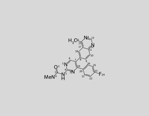 CNC(=O)Nc1ncc(-c2ccc3ncnc(C)c3c2)c(-c2ccc(F)cc2)n1